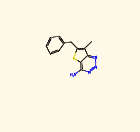 Cc1c(Cc2ccccc2)sc2c(N)nnnc12